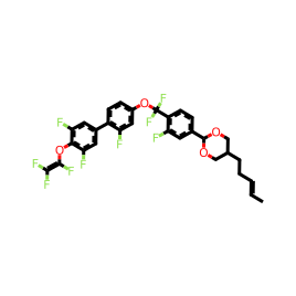 C/C=C/CCC1COC(c2ccc(C(F)(F)Oc3ccc(-c4cc(F)c(OC(F)=C(F)F)c(F)c4)c(F)c3)c(F)c2)OC1